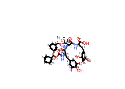 C[C@H](OCc1ccccc1)[C@@H]1NC(=O)[C@@H](NC(=O)OCc2ccccc2)Cc2cc(I)c(O)c(c2)Oc2c(Br)cc(cc2Br)CC(C(=O)O)NC1=O